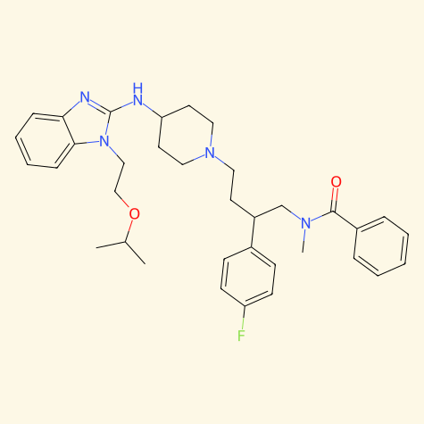 CC(C)OCCn1c(NC2CCN(CCC(CN(C)C(=O)c3ccccc3)c3ccc(F)cc3)CC2)nc2ccccc21